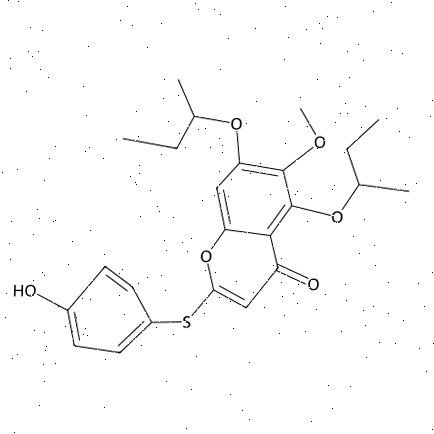 CCC(C)Oc1cc2oc(Sc3ccc(O)cc3)cc(=O)c2c(OC(C)CC)c1OC